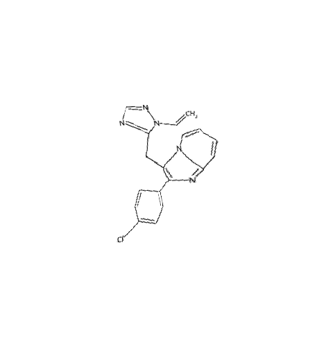 C=Cn1ncnc1Cc1c(-c2ccc(Cl)cc2)nc2ccccn12